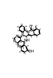 Cc1cccc2cc(CNc3ncnc(N)c3C(=N)c3cccc(O)c3)n(-c3ccccc3)c(=O)c12